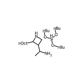 CCCCCCCCC1NCC1C(C)N.CCCCO[SiH](OCCCC)OCCCC